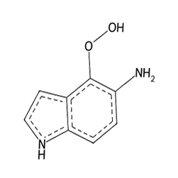 Nc1ccc2[nH]ccc2c1OO